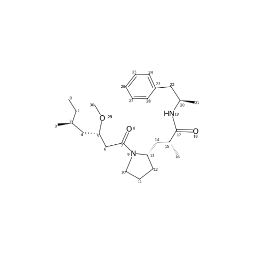 CC[C@H](C)C[C@@H](CC(=O)N1CCC[C@H]1C[C@@H](C)C(=O)N[C@H](C)Cc1ccccc1)OC